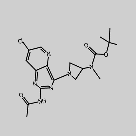 CC(=O)Nc1nc(N2CC(N(C)C(=O)OC(C)(C)C)C2)c2ncc(Cl)cc2n1